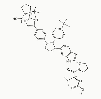 COC(=O)N[C@H](C(=O)N1CCC[C@H]1c1nc2ccc(C3CCC(c4ccc(-c5cnc([C@@]6(C(C)(C)C)CCCN6C(=O)O)[nH]5)cc4)N3c3ccc(C(C)(C)C)cc3)cc2[nH]1)C(C)C